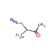 CC(=O)C(C)CC#N